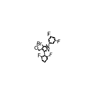 O=Cc1c(-c2c(F)cccc2F)nn(-c2cc(F)cc(F)c2)c1Br